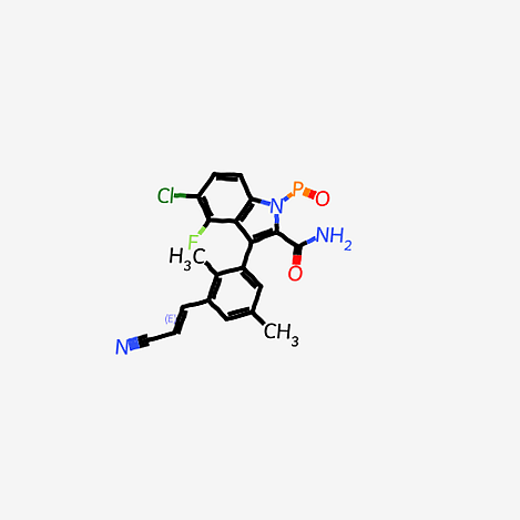 Cc1cc(/C=C/C#N)c(C)c(-c2c(C(N)=O)n(P=O)c3ccc(Cl)c(F)c23)c1